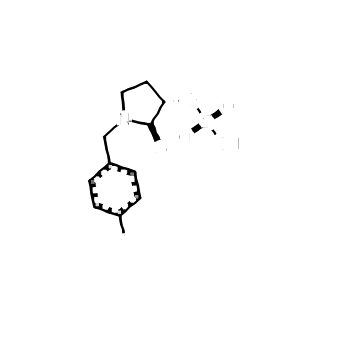 CS(=O)(=O)O[C@H]1CCN(Cc2ccc(C(F)(F)F)cc2)C1=O